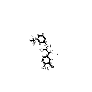 Cc1ccc(C(C)C(=O)Nc2cccc(C(F)(F)F)c2)cc1Br